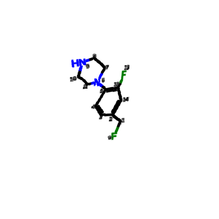 FCc1ccc(N2CCNCC2)c(F)c1